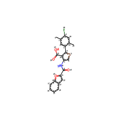 Cc1cc(-c2scc(NC(=O)c3cc4ccccc4o3)c2C(=O)O)c(C)cc1F